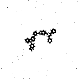 C1=CC(c2nc(-c3ccccc3)nc(-c3ccc4sc(-c5cccc(-c6ccc7c(c6)c6ccccc6n7-c6ccc7ocnc7c6)c5)nc4c3)n2)=CCC1